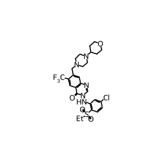 CCS(=O)(=O)c1ccc(Cl)cc1Nn1cnc2cc(CN3CCN(C4CCOCC4)CC3)c(C(F)(F)F)cc2c1=O